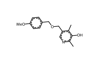 COc1ccc(COCc2cnc(C)c(O)c2C)cc1